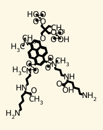 CCC(COc1cc(N(C)C)c2ccc3c(S(=O)(=O)N(C)CCCNC(CCCCN)C(C)=O)cc(S(=O)(=O)N(C)CCCNC(CCCCN)C(=O)O)c4ccc1c2c34)(COS(=O)(=O)O)COS(=O)(=O)O